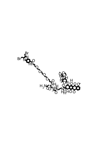 COc1cccc2c1C(=O)c1c(O)c3c(c(O)c1C2=O)C[C@@](O)(C(=O)NCCNC(=O)[C@H](C)NC(=O)[C@H](CC(N)=O)NC(=O)CCOCCOCCOCCOCCNC(=O)c1ccc2nc(CBr)c(CBr)nc2c1)C[C@@H]3O[C@H]1C[C@H]2[C@H](O[C@@H]3[C@@H](OC)OCCN32)[C@H](C)O1